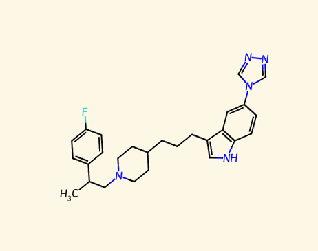 CC(CN1CCC(CCCc2c[nH]c3ccc(-n4cnnc4)cc23)CC1)c1ccc(F)cc1